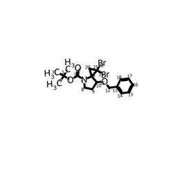 CC(C)(C)OC(=O)N1CCC(OCc2ccccc2)C12CC2(Br)Br